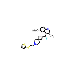 COc1ccc2ncc(C)c([C@@H](F)CCC3(C(=O)O)CCN(CCSc4cccs4)CC3)c2c1